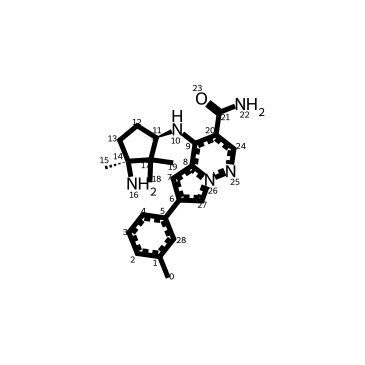 Cc1cccc(-c2cc3c(N[C@@H]4CC[C@](C)(N)C4(C)C)c(C(N)=O)cnn3c2)c1